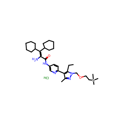 CCc1c(-c2ccc(NC(=O)C(N)=C(C3CCCCC3)C3CCCCC3)cn2)c(C)nn1COCC[Si](C)(C)C.Cl